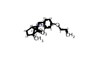 C=CCOc1ccc(/C=C2\C(=O)C3(C)CCC2C3(C)C)cc1